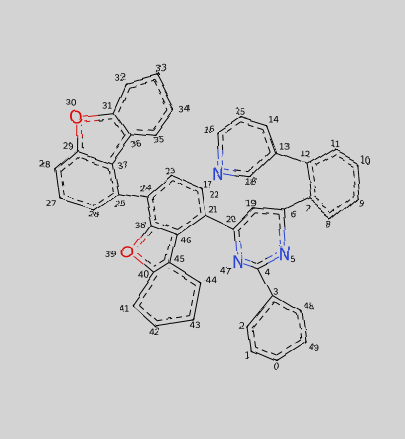 c1ccc(-c2nc(-c3ccccc3-c3cccnc3)cc(-c3ccc(-c4cccc5oc6ccccc6c45)c4oc5ccccc5c34)n2)cc1